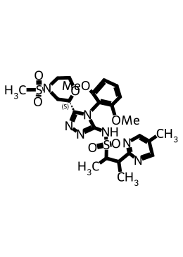 COc1cccc(OC)c1-n1c(NS(=O)(=O)C(C)C(C)c2ncc(C)cn2)nnc1[C@@H]1CN(S(C)(=O)=O)CCO1